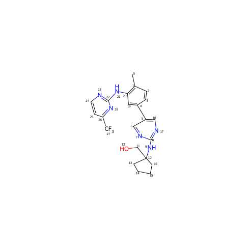 Cc1ccc(-c2cnc(NC3(CO)CCCC3)nc2)cc1Nc1nccc(C(F)(F)F)n1